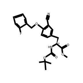 COC(=O)[C@H](Cc1ccc(OCc2ccccc2F)c(C#N)c1)NC(=O)OC(C)(C)C